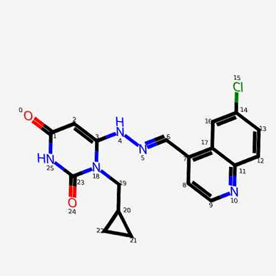 O=c1cc(NN=Cc2ccnc3ccc(Cl)cc23)n(CC2CC2)c(=O)[nH]1